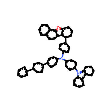 c1ccc(-c2ccc(-c3ccc(N(c4ccc(-c5cccc6oc7c8ccccc8ccc7c56)cc4)c4ccc(-n5c6ccccc6c6ccccc65)cc4)cc3)cc2)cc1